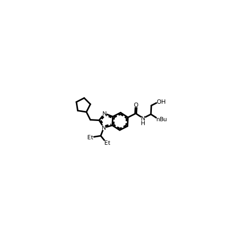 CCCCC(CO)NC(=O)c1ccc2c(c1)nc(CC1CCCC1)n2C(CC)CC